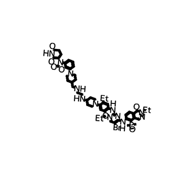 CCOc1cc(N2CCC(NCCNCC3CCN(c4cccc5c4oc(=O)n5C4CCC(=O)NC4=O)CC3)CC2)c(CC)cc1Nc1ncc(Br)c(Nc2ccc3c(=O)n(CC)ncc3c2P(C)(C)=O)n1